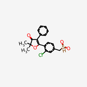 CC1(C)OC(c2ccc(C[SH](=O)=O)cc2Cl)=C(c2ccccc2)C1=O